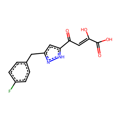 O=C(O)C(O)=CC(=O)c1cc(Cc2ccc(F)cc2)n[nH]1